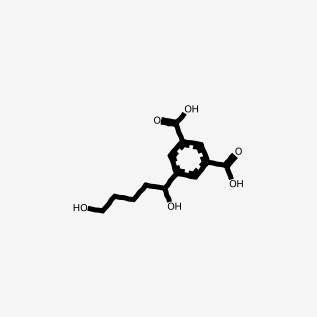 O=C(O)c1cc(C(=O)O)cc(C(O)CCCCO)c1